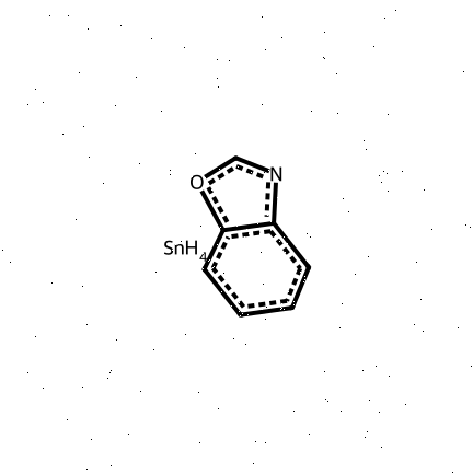 [SnH4].c1ccc2ocnc2c1